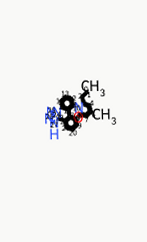 CCCc1cc(C)cc(=O)n1-c1ccccc1-c1ccccc1-c1nnn[nH]1